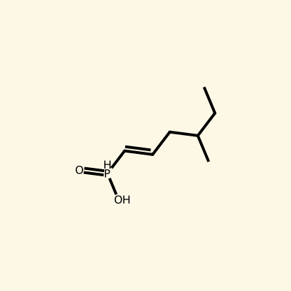 CCC(C)CC=C[PH](=O)O